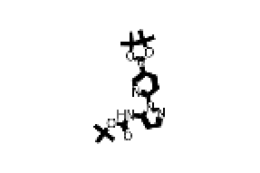 CC(C)(C)OC(=O)Nc1ccnn1-c1ccc(B2OC(C)(C)C(C)(C)O2)cn1